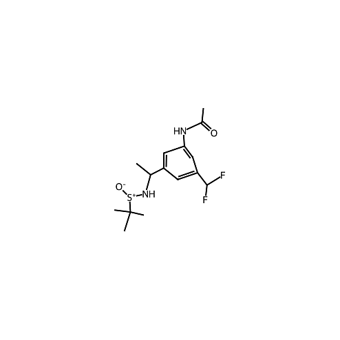 CC(=O)Nc1cc(C(F)F)cc(C(C)N[S+]([O-])C(C)(C)C)c1